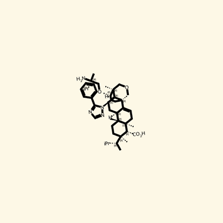 CC(C)[C@@H](C)[C@@]1(C)CC[C@]2(C)[C@H]3CC[C@@H]4[C@@]5(COC[C@]4(C)[C@@H](OC[C@](C)(N)C(C)C)[C@H](n4ncnc4-c4ccccc4)C5)C3=CC[C@@]2(C)[C@@H]1C(=O)O